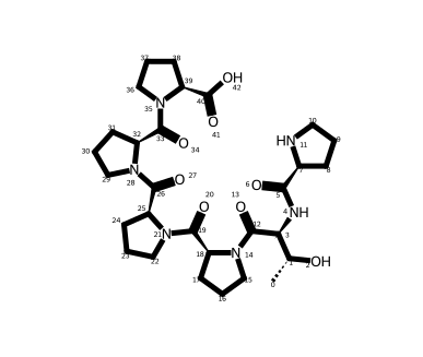 C[C@@H](O)[C@H](NC(=O)[C@@H]1CCCN1)C(=O)N1CCC[C@H]1C(=O)N1CCC[C@H]1C(=O)N1CCC[C@H]1C(=O)N1CCC[C@H]1C(=O)O